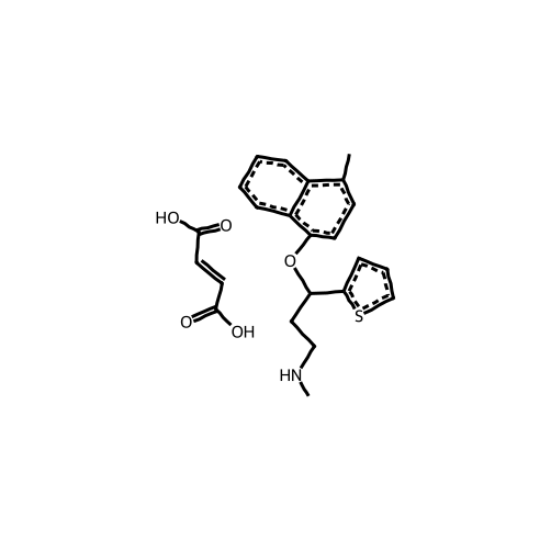 CNCCC(Oc1ccc(C)c2ccccc12)c1cccs1.O=C(O)C=CC(=O)O